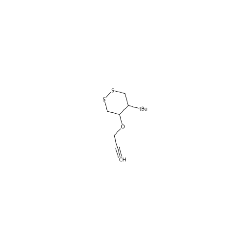 C#CCOC1CSSCC1C(C)(C)C